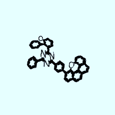 c1ccc(-c2nc(-c3ccc(-c4ccc5ccc6ccc7cccc8c7c6c5c4O8)cc3)nc(-c3cccc4oc5ccccc5c34)n2)cc1